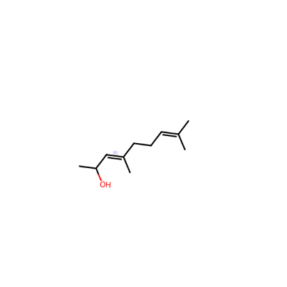 CC(C)=CCC/C(C)=C/C(C)O